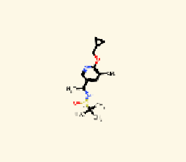 Cc1cc(C(C)N[S@+]([O-])C(C)(C)C)cnc1OCC1CC1